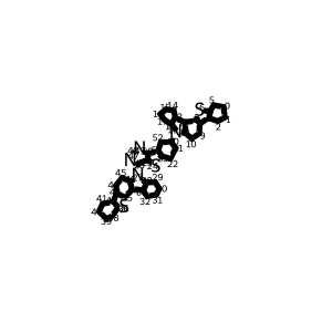 c1ccc2c(c1)sc1c2ccc2c1c1ccccc1n2-c1ccc2sc3c(-n4c5ccccc5c5c6sc7ccccc7c6ccc54)ncnc3c2c1